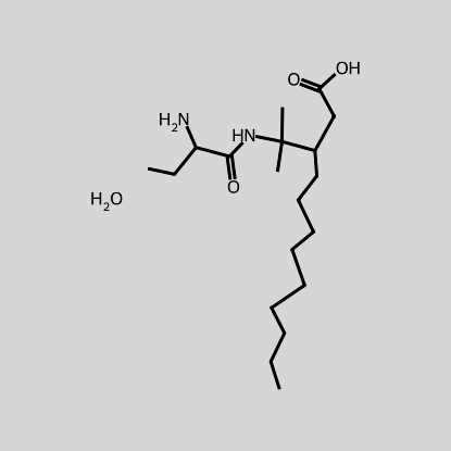 CCCCCCCCCC(CC(=O)O)C(C)(C)NC(=O)C(N)CC.O